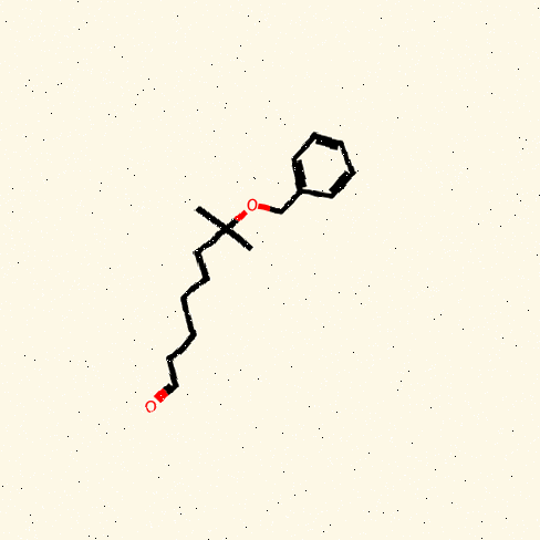 CC(C)(CCCCCC=O)OCc1ccccc1